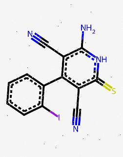 N#Cc1c(N)[nH]c(=S)c(C#N)c1-c1ccccc1I